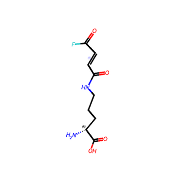 N[C@H](CCCNC(=O)/C=C/C(=O)F)C(=O)O